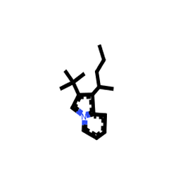 CCCC(C)c1c(C(C)(C)C)cn2ccccc12